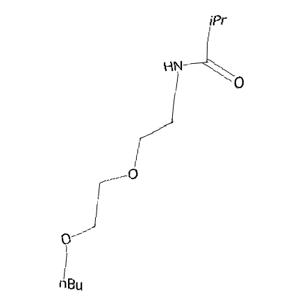 CCCCOCCOCCNC(=O)C(C)C